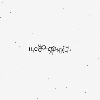 Cc1nc2ccc(-c3cc(=O)n4cc(N5CCN[C@@H](C)C5)ccc4c3)cc2o1